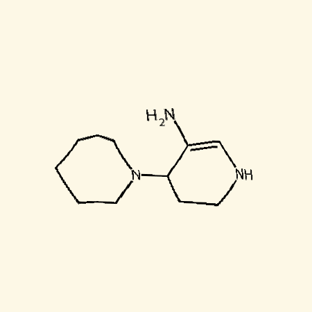 NC1=CNCCC1N1CCCCC1